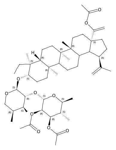 C=C(C)[C@@H]1CC[C@]2(C(=C)OC(C)=O)CC[C@]3(C)C(CCC4[C@@]5(C)CC[C@H](O[C@@H]6OC[C@H](C)[C@H](C)[C@H]6O[C@@H]6O[C@@H](C)[C@H](C)[C@@H](OC(C)=O)[C@H]6OC(C)=O)[C@@](C)(CC)[C@@H]5CC[C@]43C)C12